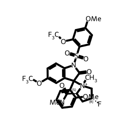 CNC(=O)[C@@H]1C[C@@H](F)C[N+]1(C)C1(c2ccccc2OC)C(=O)N(S(=O)(=O)c2ccc(OC)cc2OC(F)(F)F)c2ccc(OC(F)(F)F)cc21